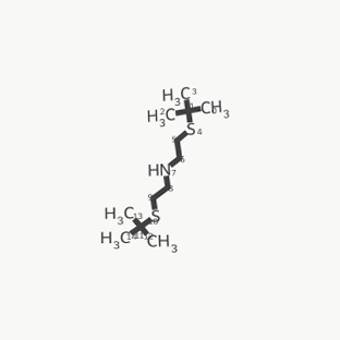 CC(C)(C)SCCNCCSC(C)(C)C